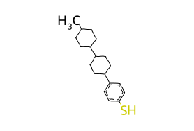 CC1CCC(C2CCC(c3ccc(S)cc3)CC2)CC1